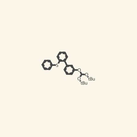 CC(C)(C)OC(Oc1cccc(-c2ccccc2Sc2ccccc2)c1)OC(C)(C)C